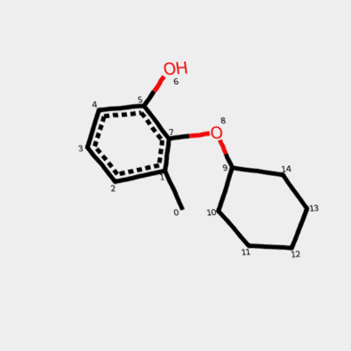 Cc1cccc(O)c1OC1CCCCC1